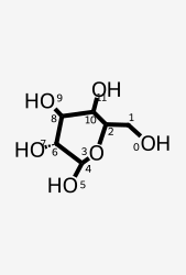 OCC1OC(O)[C@H](O)C(O)C1O